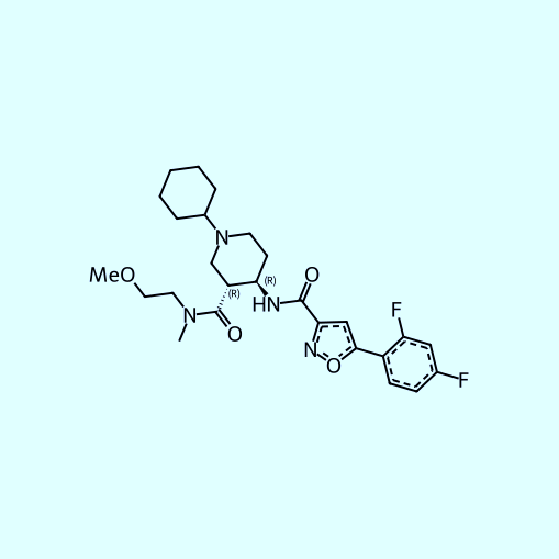 COCCN(C)C(=O)[C@@H]1CN(C2CCCCC2)CC[C@H]1NC(=O)c1cc(-c2ccc(F)cc2F)on1